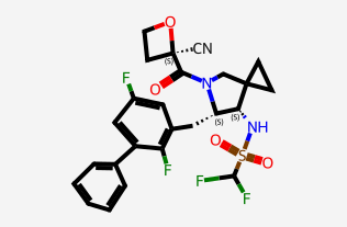 N#C[C@]1(C(=O)N2CC3(CC3)[C@H](NS(=O)(=O)C(F)F)[C@@H]2Cc2cc(F)cc(-c3ccccc3)c2F)CCO1